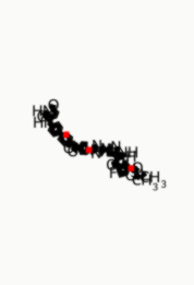 CCN(C)S(=O)(=O)Nc1ccc(F)c(C(=O)c2c[nH]c3ncc(-c4cnc(N5CCN(C(=O)CC6(O)CCC(c7ccc(NC8CCC(=O)NC8=O)cc7)CC6)CC5)nc4)cc23)c1F